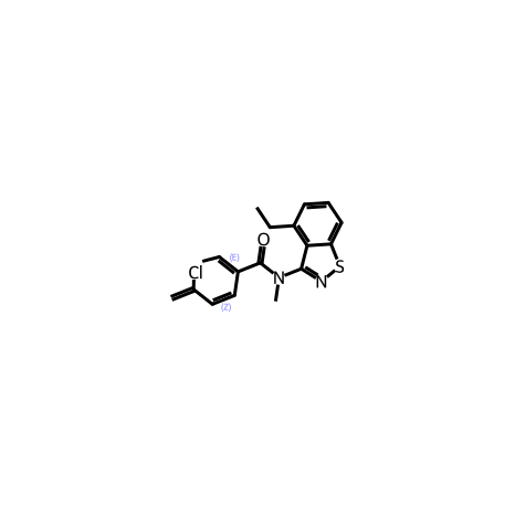 C=C(Cl)/C=C\C(=C/C)C(=O)N(C)c1nsc2cccc(CC)c12